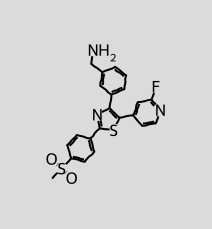 CS(=O)(=O)c1ccc(-c2nc(-c3cccc(CN)c3)c(-c3ccnc(F)c3)s2)cc1